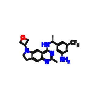 Cc1nc(NC(C)c2cc(N)cc(C(F)(F)F)c2)c2cc3c(cc2n1)CCN3C1COC1